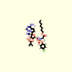 CCCCCCCOC(=O)[C@H](C)NP(=O)(OC[C@H]1O[C@@](C#N)(c2ccc3c(N)ncnn23)[C@](C)(O)[C@@H]1OC(=O)C(C)C)Oc1ccc(Cl)cc1